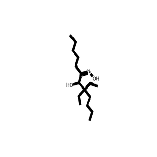 CCCCCC(=NO)C(O)C(CC)(CC)CCCC